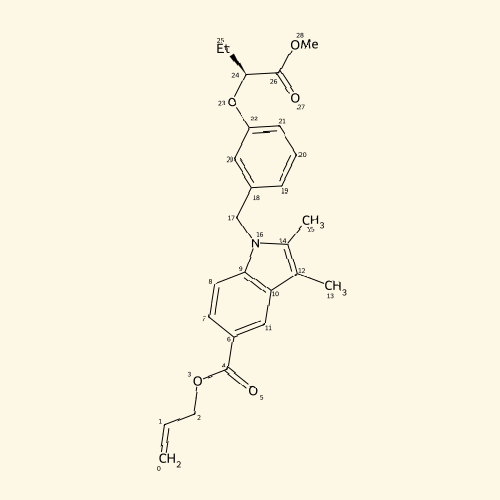 C=CCOC(=O)c1ccc2c(c1)c(C)c(C)n2Cc1cccc(O[C@@H](CC)C(=O)OC)c1